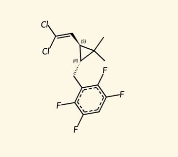 CC1(C)[C@H](C=C(Cl)Cl)[C@H]1Cc1c(F)c(F)cc(F)c1F